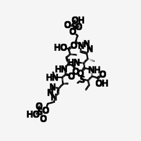 CCC(SC)[C@H](NC(=O)C(NC(=O)[C@H](CC(C)C(=O)O)NC(=O)C(NC)[C@@H](C)c1cn(CCOS(=O)(=O)O)nn1)[C@@H](C)c1cn(CCOS(=O)(=O)O)nn1)C(=O)O